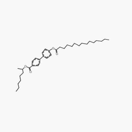 CCCCCCCCCCCCCCC(=O)Oc1ccc(-c2ccc(C(=O)OC(C)CCCCCC)cc2)cc1